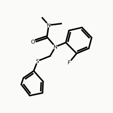 CN(C)C(=O)N(CSc1ccccc1)c1ccccc1F